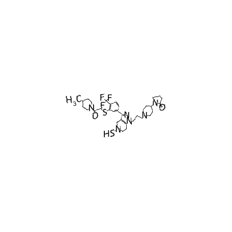 CC1CCN(C(=O)CSc2cc(-c3nn(CCCN4CCC(N5CCCC5=O)CC4)c4c3CN(S)CC4)ccc2C(F)(F)F)CC1